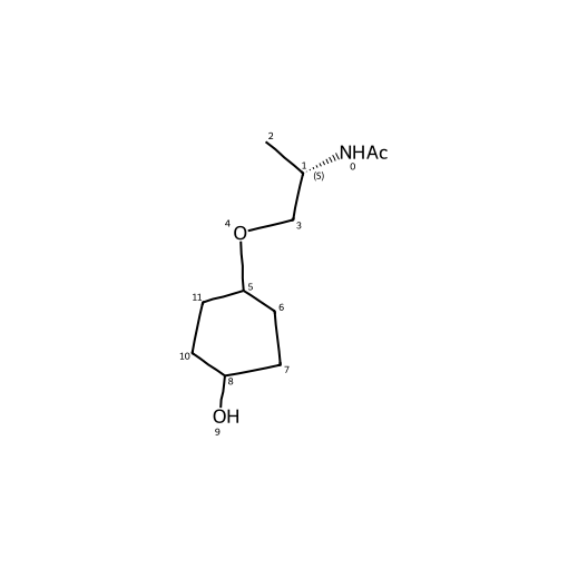 CC(=O)N[C@@H](C)COC1CCC(O)CC1